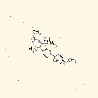 C=C(/C=C\C=C/C)c1ccc2c(c1)C(C)(C)/C(=C/C(I)=C\C)C2=C